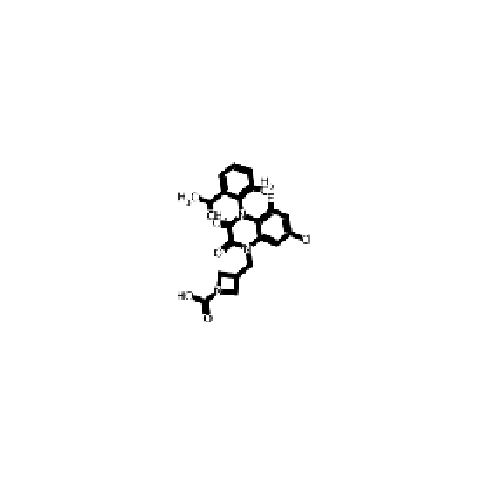 Cc1cccc(C(C)C)c1-n1c(=O)c(=O)n(CC2CN(C(=O)O)C2)c2cc(Cl)cc(F)c21